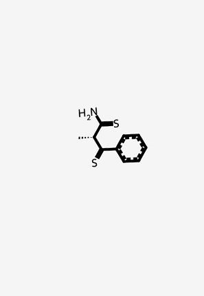 C[C@H](C(N)=S)C(=S)c1ccccc1